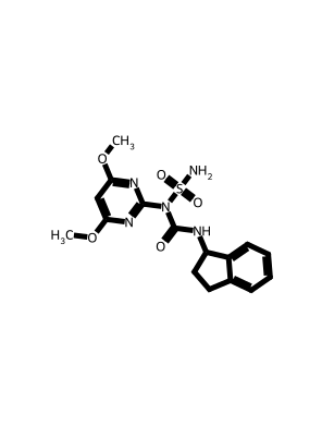 COc1cc(OC)nc(N(C(=O)NC2CCc3ccccc32)S(N)(=O)=O)n1